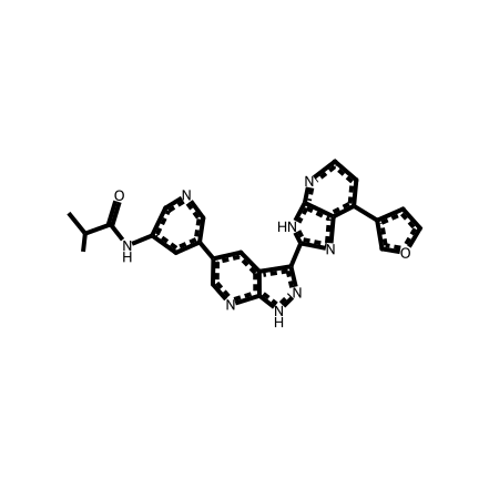 CC(C)C(=O)Nc1cncc(-c2cnc3[nH]nc(-c4nc5c(-c6ccoc6)ccnc5[nH]4)c3c2)c1